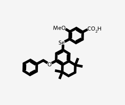 COc1cc(C(=O)O)ccc1[Se]c1cc(OCc2ccccc2)c2c(c1)C(C)(C)CCC2(C)C